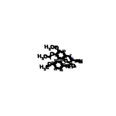 CCOc1ccc(/C=C(/C#N)S(=O)(=O)Nc2ccc(OC)cc2)cc1OC